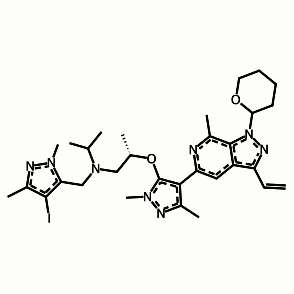 C=Cc1nn(C2CCCCO2)c2c(C)nc(-c3c(C)nn(C)c3O[C@@H](C)CN(Cc3c(I)c(C)nn3C)C(C)C)cc12